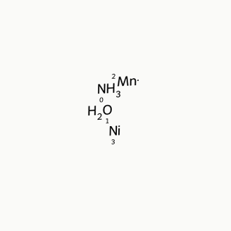 N.O.[Mn].[Ni]